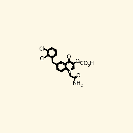 NC(=O)Cn1cc(OC(=O)O)c(=O)c2cc(Cc3cccc(Cl)c3Cl)ccc21